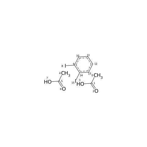 CC(=O)O.CC(=O)O.Ic1ccccc1I